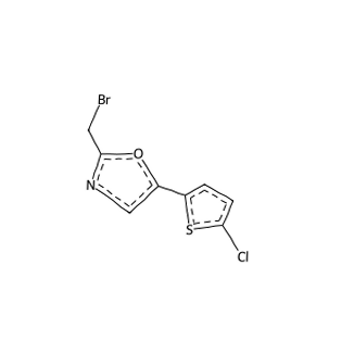 Clc1ccc(-c2cnc(CBr)o2)s1